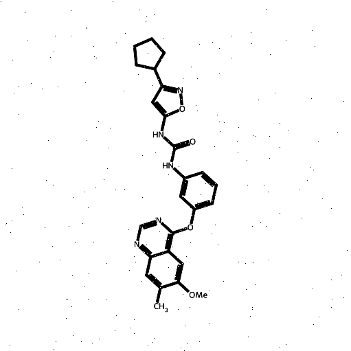 COc1cc2c(Oc3cccc(NC(=O)Nc4cc(C5CCCC5)no4)c3)ncnc2cc1C